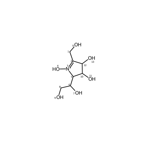 OCC1=[N+](O)C(C(O)CO)C(O)C1O